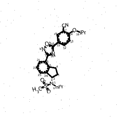 CCCN([C@H]1CCc2c(-c3noc(-c4ccc(OC(C)C)c(C#N)c4)n3)cccc21)S(C)(=O)=O